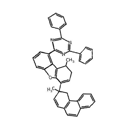 CC1CC=C(C2(C)C=Cc3ccc4ccccc4c3C2)c2oc3cccc(-c4nc(-c5ccccc5)nc(-c5ccccc5)n4)c3c21